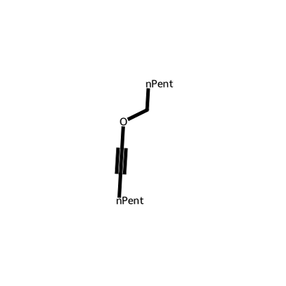 [CH2]CCCCCOC#CCCCCC